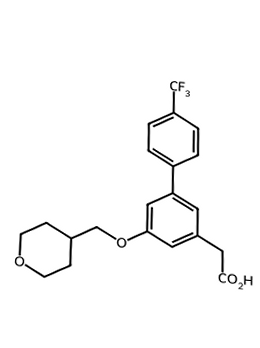 O=C(O)Cc1cc(OCC2CCOCC2)cc(-c2ccc(C(F)(F)F)cc2)c1